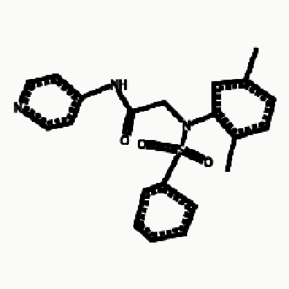 Cc1ccc(C)c(N(CC(=O)Nc2ccncc2)S(=O)(=O)c2ccccc2)c1